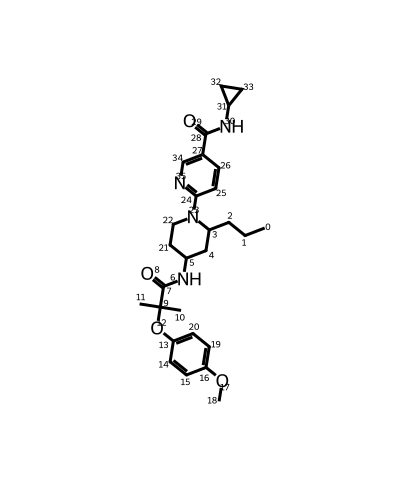 CCCC1CC(NC(=O)C(C)(C)Oc2ccc(OC)cc2)CCN1c1ccc(C(=O)NC2CC2)cn1